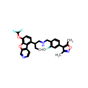 Cc1noc(C)c1-c1ccc(CNCC(CC=O)c2ccc(OC(F)F)c3oc4cnccc4c23)c(F)c1